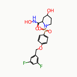 O=C(NO)C1CC(O)CCN1S(=O)(=O)c1ccc(OCc2cc(F)cc(F)c2)cc1